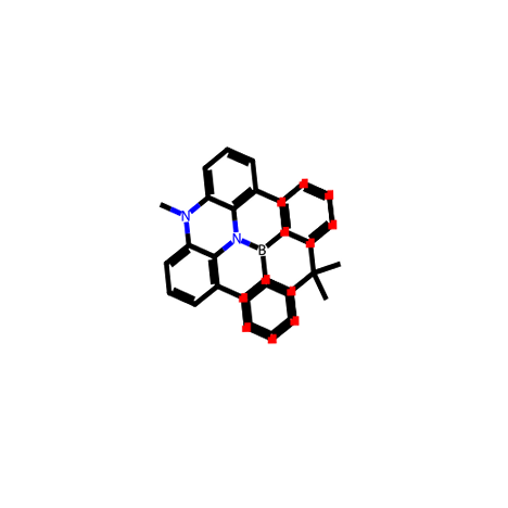 CN1c2cccc(-c3ccccc3)c2N(B2c3ccccc3C(C)(C)c3ccccc32)c2c(-c3ccccc3)cccc21